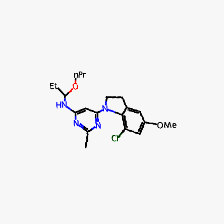 CCCOC(CC)Nc1cc(N2CCc3cc(OC)cc(Cl)c32)nc(C)n1